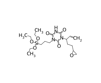 C=CC(CCC1CO1)n1c(=O)[nH]c(=O)n(CCC[Si](OCC)(OCC)OCC)c1=O